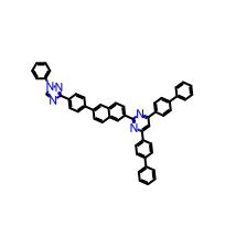 c1ccc(-c2ccc(-c3cc(-c4ccc(-c5ccccc5)cc4)nc(-c4ccc5cc(-c6ccc(-c7ncn(-c8ccccc8)n7)cc6)ccc5c4)n3)cc2)cc1